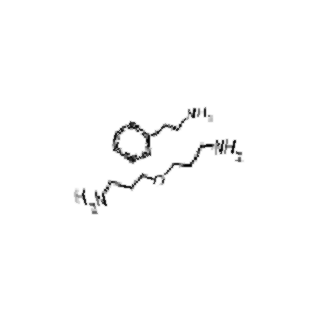 NCCCOCCCN.NCCc1ccccc1